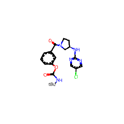 CC(C)(C)NC(=O)Oc1cccc(C(=O)N2CC[C@@H](Nc3ncc(Cl)cn3)C2)c1